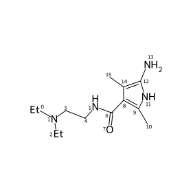 CCN(CC)CCNC(=O)c1c(C)[nH]c(N)c1C